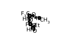 CCOc1cc(=O)[nH]cc1-c1ccc(CC(=O)Nc2cc(C(=O)NCCN3CC[C@H](C)C3)cc(C(F)(F)F)c2)c(F)c1